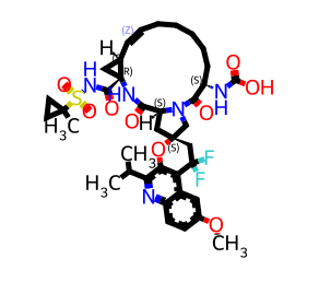 COc1ccc2nc(C(C)C)c3c(c2c1)C(F)(F)C[C@]1(C[C@H]2C(=O)N[C@]4(C(=O)NS(=O)(=O)C5(C)CC5)C[C@H]4/C=C\CCCCC[C@H](NC(=O)O)C(=O)N2C1)O3